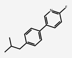 CC(C)Cc1ccc(-c2ccc(F)nc2)cc1